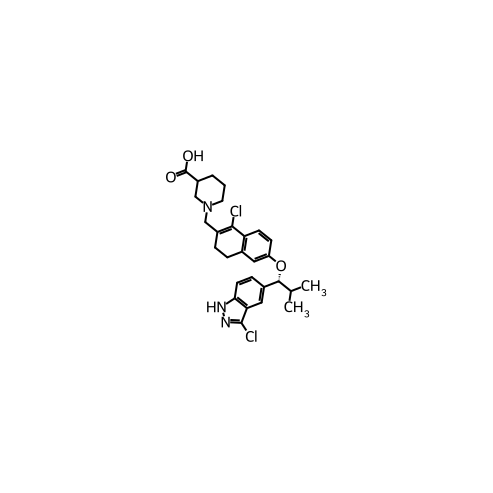 CC(C)[C@@H](Oc1ccc2c(c1)CCC(CN1CCCC(C(=O)O)C1)=C2Cl)c1ccc2[nH]nc(Cl)c2c1